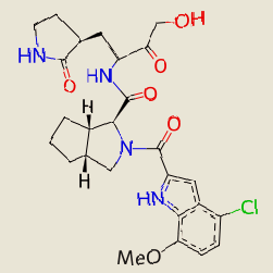 COc1ccc(Cl)c2cc(C(=O)N3C[C@@H]4CCC[C@@H]4[C@H]3C(=O)NC(C[C@@H]3CCNC3=O)C(=O)CO)[nH]c12